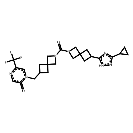 O=C(N1CC2(CC(Cn3cc(C(F)(F)F)ncc3=O)C2)C1)N1CC2(CC(c3nc(C4CC4)n[nH]3)C2)C1